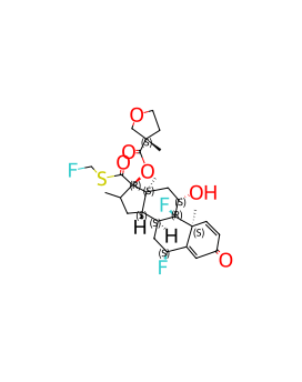 CC1C[C@H]2[C@@H]3C[C@H](F)C4=CC(=O)C=C[C@]4(C)[C@@]3(F)[C@@H](O)C[C@]2(C)[C@@]1(OC(=O)[C@@]1(C)CCOC1)C(=O)SCF